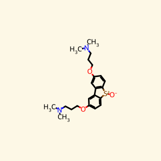 CN(C)CCCOc1ccc2c(c1)c1cc(OCCCN(C)C)ccc1[s+]2[O-]